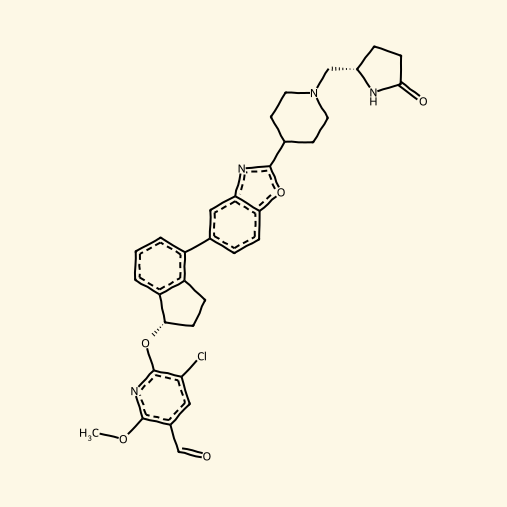 COc1nc(O[C@H]2CCc3c(-c4ccc5oc(C6CCN(C[C@@H]7CCC(=O)N7)CC6)nc5c4)cccc32)c(Cl)cc1C=O